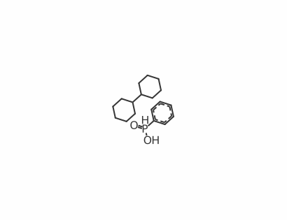 C1CCC(C2CCCCC2)CC1.O=[PH](O)c1ccccc1